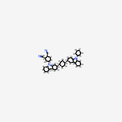 N#Cc1ccc(-n2c3ccccc3c3ccc(-c4ccc(-c5ccc6c(c5)c5ccccc5n6-c5ccccc5)cc4)cc32)cc1C#N